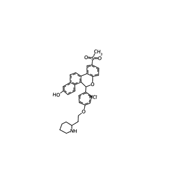 CS(=O)(=O)c1ccc2c(c1)-c1ccc3cc(O)ccc3c1C(c1ccc(OCCC3CCCCN3)cc1)O2.Cl